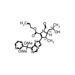 C=CCOC(=O)C1=C(c2cn3cnc(C(OC)(OC)c4cccnc4)c3s2)[C@H](C)[C@@H]2[C@@H]([C@@H](C)O)C(=O)N12